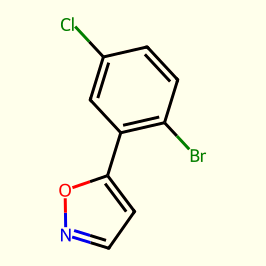 Clc1ccc(Br)c(-c2ccno2)c1